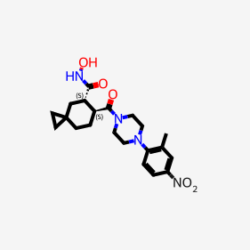 Cc1cc([N+](=O)[O-])ccc1N1CCN(C(=O)[C@H]2CCC3(CC3)C[C@@H]2C(=O)NO)CC1